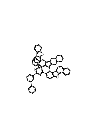 c1ccc(-c2cccc(-c3nc(-c4ccc5c(c4)sc4ccccc45)nc(-c4ccc5oc6c7ccccc7ccc6c5c4-n4c5cc6ccccc6cc5c5cc6ccccc6cc54)n3)c2)cc1